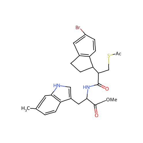 COC(=O)C(Cc1c[nH]c2cc(C)ccc12)NC(=O)C(CSC(C)=O)C1CCc2cc(Br)ccc21